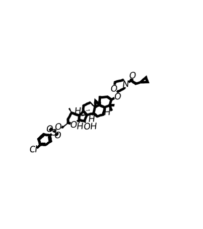 C[C@@H]1C[C@H](COS(=O)(=O)c2ccc(Cl)cc2)O[C@H]2[C@H]1[C@@]1(C)CC[C@@]34CC35CCC(O[C@H]3CN(C(=O)CC6CC6)CCO3)C(C)(C)[C@@H]5CC[C@H]4[C@]1(C)[C@H]2O